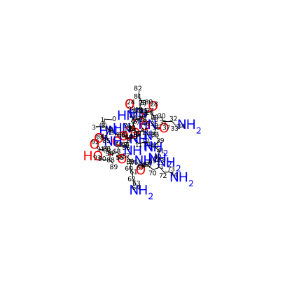 CC[C@H](C)[C@H](NC(=O)[C@H](CCCCN)NC(=O)[C@H](CC(C)C)NC(=O)[C@@H](NC(=O)[C@H](CCCCN)NC(=O)[C@H](CCCCN)NC(=O)[C@@H](NC(=O)[C@H](CC(C)C)NC(=O)[C@H](CCCCN)NC(=O)[C@@H](N)CCCCN)[C@@H](C)CC)[C@@H](C)CC)C(=O)N[C@@H](CC(C)C)C(=O)O